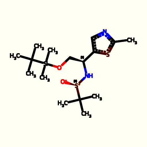 Cc1ncc([C@H](CO[Si](C)(C)C(C)(C)C)N[S@+]([O-])C(C)(C)C)s1